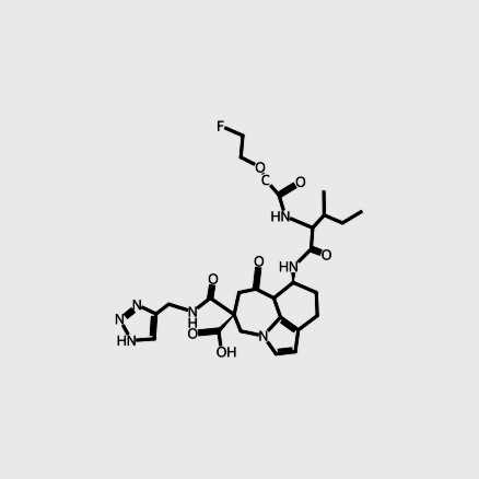 CCC(C)C(NC(=O)COCCF)C(=O)N[C@H]1CCc2ccn3c2C1C(=O)C[C@@](C(=O)O)(C(=O)NCc1c[nH]nn1)C3